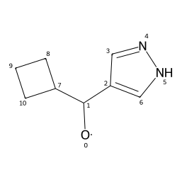 [O]C(c1cn[nH]c1)C1CCC1